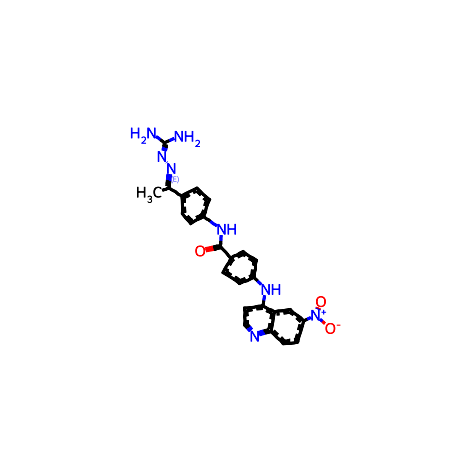 C/C(=N\N=C(N)N)c1ccc(NC(=O)c2ccc(Nc3ccnc4ccc([N+](=O)[O-])cc34)cc2)cc1